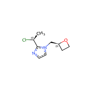 C[C@H](Cl)c1nccn1C[C@@H]1CCO1